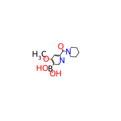 COc1cc(C(=O)N2CCCCC2)ncc1B(O)O